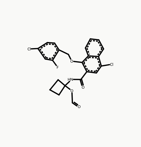 O=COC1(NC(=O)c2cc(Cl)c3ccccc3c2OCc2ccc(Cl)cc2F)CCC1